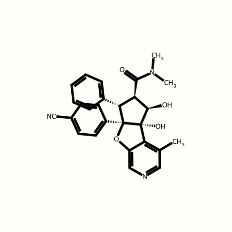 Cc1cncc2c1[C@]1(O)[C@H](O)[C@H](C(=O)N(C)C)[C@@H](c3ccccc3)[C@]1(c1ccc(C#N)cc1)O2